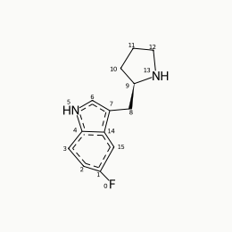 Fc1ccc2[nH]cc(C[C@H]3CCCN3)c2c1